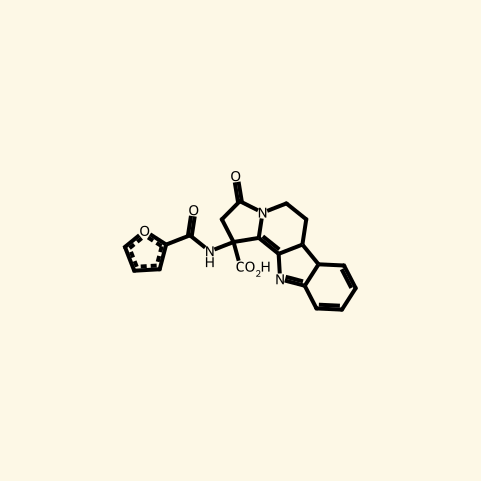 O=C(NC1(C(=O)O)CC(=O)N2CCC3C(=C21)N=C1C=CC=CC13)c1ccco1